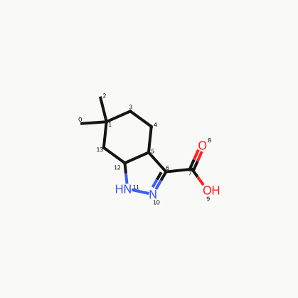 CC1(C)CCC2C(C(=O)O)=NNC2C1